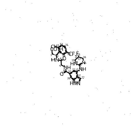 O=C(O)C[C@H](NC(=O)CNC(=O)c1cc(NC2=NCC(F)CN2)c2cn[nH]c2c1)c1cc(C(F)(F)F)ccc1Cl